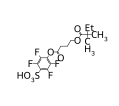 CCC(C)(C)C(=O)OCCCC(=O)Oc1c(F)c(F)c(S(=O)(=O)O)c(F)c1F